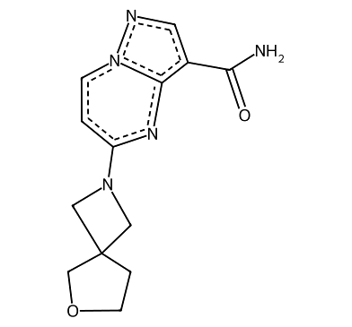 NC(=O)c1cnn2ccc(N3CC4(CCOC4)C3)nc12